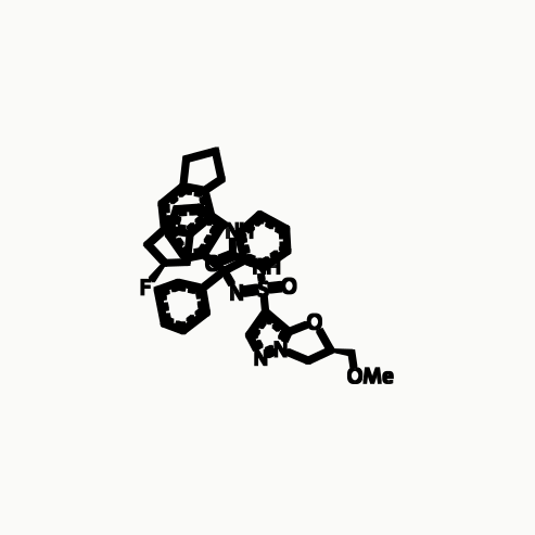 COC[C@H]1Cn2ncc(S(=O)(=NC(c3ccccc3)(c3ccccc3)c3ccccc3)NC(=O)Nc3c4c(cc5c3C[C@@H](F)C5)CCC4)c2O1